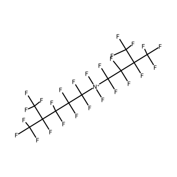 FC(F)(F)C(F)(C(F)(F)F)C(F)(F)C(F)(F)C(F)(F)[N+](F)(F)C(F)(F)C(F)(F)C(F)(C(F)(F)F)C(F)(F)F